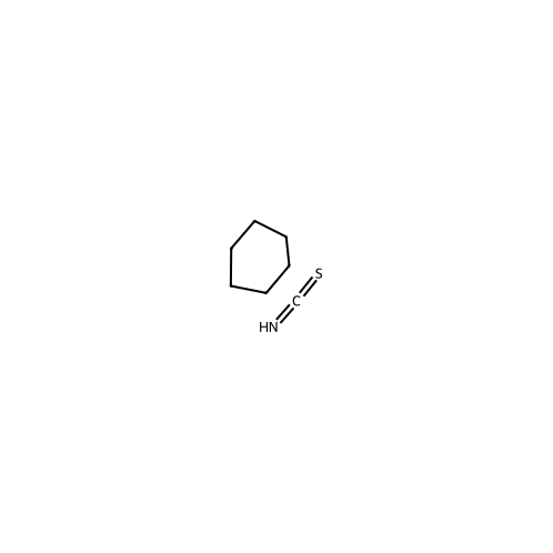 C1CCCCC1.N=C=S